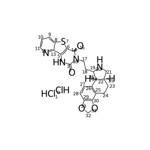 Cl.Cl.O=c1[nH]c2c(sc3cccnc32)c(=O)n1CCC1NC[C@@H]2CCc3c(ccc4c3OCO4)[C@H]12